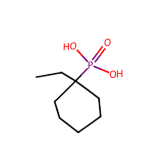 CCC1(P(=O)(O)O)CCCCC1